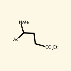 CCOC(=O)CCC(NC)C(C)=O